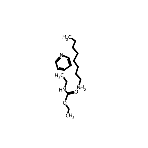 CCCCCCCCN.CCNC(=O)OCC.c1ccncc1